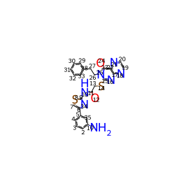 Nc1cccc(-c2csc(NC(=O)CSc3nc4nccnc4c(=O)n3CCc3ccccc3)n2)c1